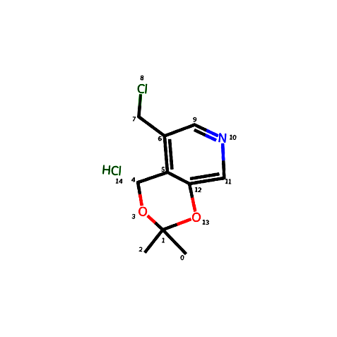 CC1(C)OCc2c(CCl)cncc2O1.Cl